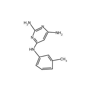 Cc1cccc(Nc2cc(N)nc(N)n2)c1